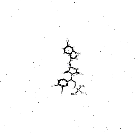 CC(C)(C)[Si](C)(C)OCC(c1ccc(F)c(F)c1)N1C(=O)N/C(=C\c2c[nH]c3cc(Cl)ccc23)C1=O